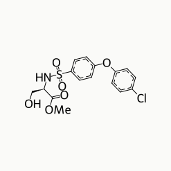 COC(=O)[C@@H](CO)NS(=O)(=O)c1ccc(Oc2ccc(Cl)cc2)cc1